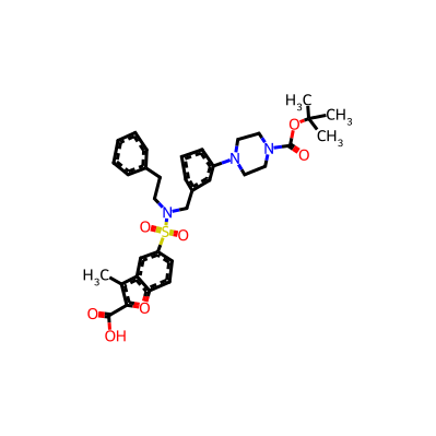 Cc1c(C(=O)O)oc2ccc(S(=O)(=O)N(CCc3ccccc3)Cc3cccc(N4CCN(C(=O)OC(C)(C)C)CC4)c3)cc12